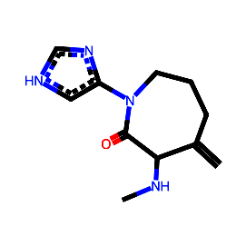 C=C1CCCN(c2c[nH]cn2)C(=O)C1NC